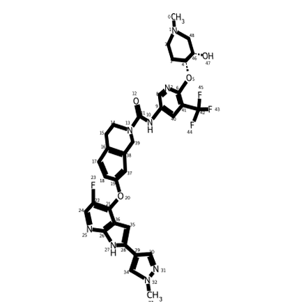 CN1CC[C@@H](Oc2ncc(NC(=O)N3CCc4ccc(Oc5c(F)cnc6[nH]c(-c7cnn(C)c7)cc56)cc4C3)cc2C(F)(F)F)[C@@H](O)C1